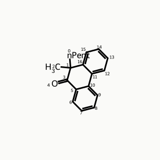 CCCCCC1(C)C(=O)c2ccccc2-c2ccccc21